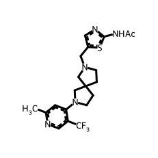 CC(=O)Nc1ncc(CN2CCC3(CCN(c4cc(C)ncc4C(F)(F)F)C3)C2)s1